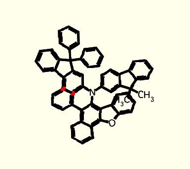 CC1(C)c2ccccc2-c2ccc(N(c3ccc4c(c3)C(c3ccccc3)(c3ccccc3)c3ccccc3-4)c3c(-c4ccccc4)c4ccccc4c4oc5ccccc5c34)cc21